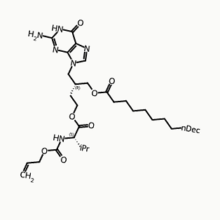 C=CCOC(=O)N[C@H](C(=O)OCC[C@@H](COC(=O)CCCCCCCCCCCCCCCCC)Cn1cnc2c(=O)[nH]c(N)nc21)C(C)C